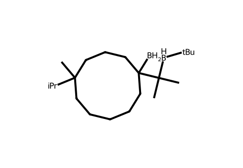 BC1(C(C)(C)BC(C)(C)C)CCCCCC(C)(C(C)C)CCC1